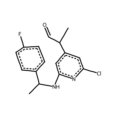 CC(C=O)c1cc(Cl)nc(NC(C)c2ccc(F)cc2)c1